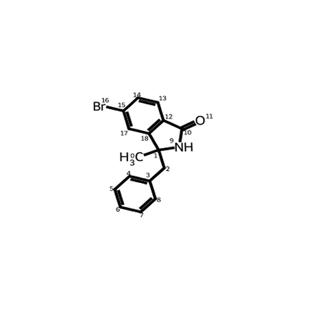 CC1(Cc2ccccc2)NC(=O)c2ccc(Br)cc21